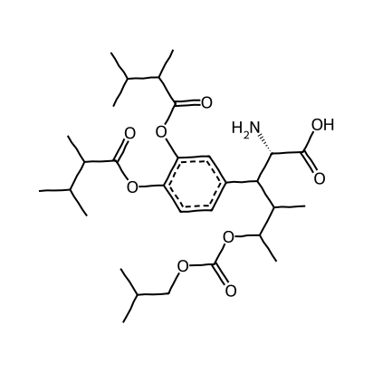 CC(C)COC(=O)OC(C)C(C)C(c1ccc(OC(=O)C(C)C(C)C)c(OC(=O)C(C)C(C)C)c1)[C@H](N)C(=O)O